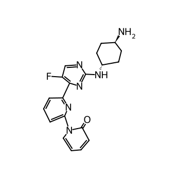 N[C@H]1CC[C@H](Nc2ncc(F)c(-c3cccc(-n4ccccc4=O)n3)n2)CC1